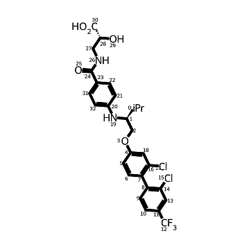 CC(C)[C@@H](COc1ccc(-c2ccc(C(F)(F)F)cc2Cl)c(Cl)c1)Nc1ccc(C(=O)NC[C@@H](O)C(=O)O)cc1